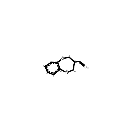 O=CC1COc2ccccc2OC1